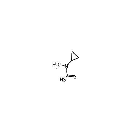 CN(C(=S)S)C1CC1